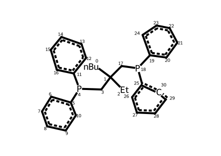 CCCCC(CC)(CP(c1ccccc1)c1ccccc1)CP(c1ccccc1)c1ccccc1